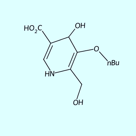 CCCCOC1=C(CO)NC=C(C(=O)O)C1O